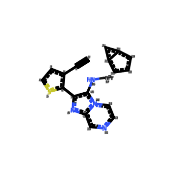 C#Cc1ccsc1-c1nc2cnccn2c1NCCC.c1cc2cc-2c1